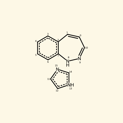 C1=Cc2ccccc2NN=C1.c1c[nH]cn1